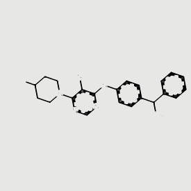 CCOC(=O)C1CCN(c2ncnc(Nc3ccc(C(C#N)c4ccccc4)cc3)c2[N+](=O)[O-])CC1